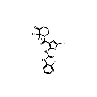 CC(C)(C)c1cc(C(=O)N2CCNC(=O)C2(C)C)c(NC(=O)Nc2cccnc2Cl)s1